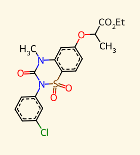 CCOC(=O)C(C)Oc1ccc2c(c1)N(C)C(=O)N(c1cccc(Cl)c1)S2(=O)=O